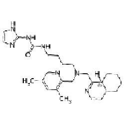 Cc1cnc(CN(CCCCNC(=O)Nc2ncc[nH]2)CC2=NC=CC3CCCC[C@@H]23)c(C)c1